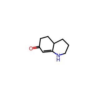 O=C1C=C2NCCCC2CC1